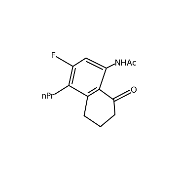 CCCc1c(F)cc(NC(C)=O)c2c1CCCC2=O